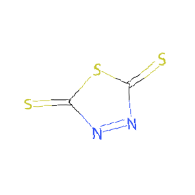 S=C1N=NC(=S)S1